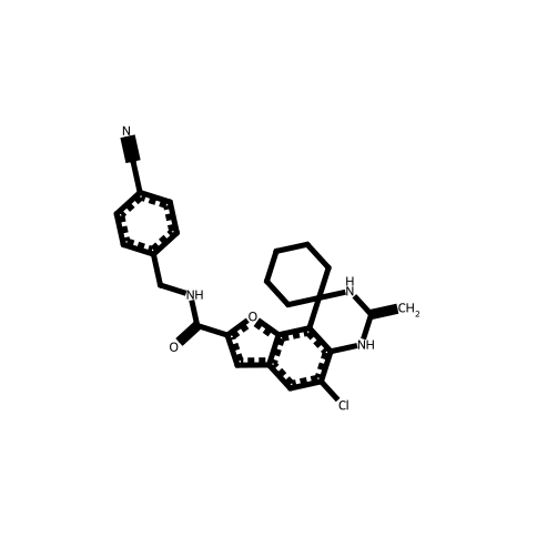 C=C1Nc2c(Cl)cc3cc(C(=O)NCc4ccc(C#N)cc4)oc3c2C2(CCCCC2)N1